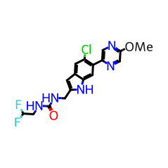 COc1cnc(-c2cc3[nH]c(CNC(=O)NCC(F)F)cc3cc2Cl)cn1